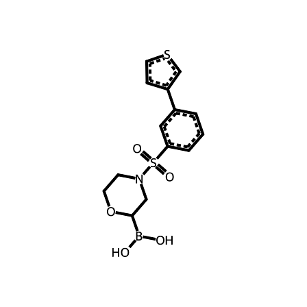 O=S(=O)(c1cccc(-c2ccsc2)c1)N1CCOC(B(O)O)C1